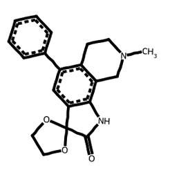 CN1CCc2c(-c3ccccc3)cc3c(c2C1)NC(=O)C31OCCO1